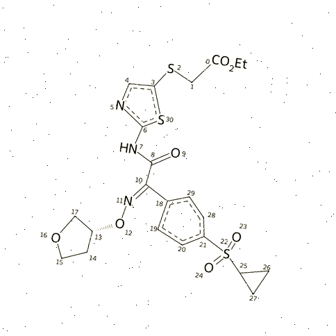 CCOC(=O)CSc1cnc(NC(=O)/C(=N/O[C@@H]2CCOC2)c2ccc(S(=O)(=O)C3CC3)cc2)s1